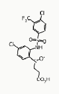 O=C(O)CC[S+]([O-])c1ccc(Cl)cc1NS(=O)(=O)c1ccc(Cl)c(C(F)(F)F)c1